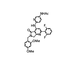 COc1ccc(CN2Cc3nc(-c4c(F)cccc4F)cc(Nc4ccc(NC(C)=O)cn4)c3C2=O)c(OC)c1